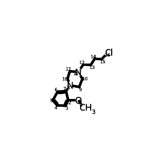 COc1ccccc1N1CCN(CCCCCl)CC1